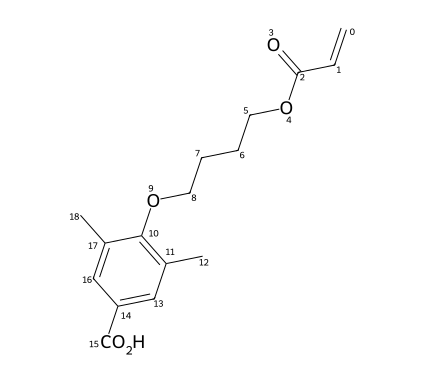 C=CC(=O)OCCCCOc1c(C)cc(C(=O)O)cc1C